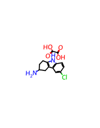 NC1CCc2[nH]c3ccc(Cl)cc3c2C1.O=C(O)C(=O)O